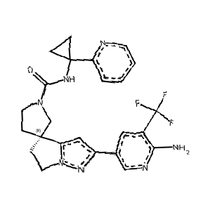 Nc1ncc(-c2cc3n(n2)CC[C@@]32CCN(C(=O)NC3(c4ccccn4)CC3)C2)cc1C(F)(F)F